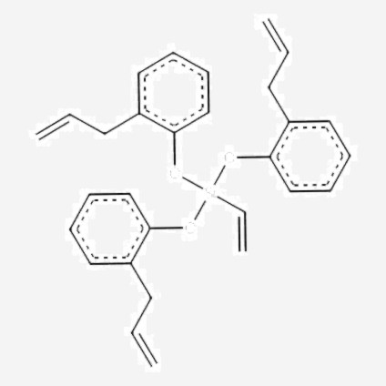 C=CCc1ccccc1O[Si](C=C)(Oc1ccccc1CC=C)Oc1ccccc1CC=C